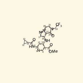 COC(=O)c1cnc(NC(=O)C2CC2)cc1Nc1cnn2ccn(CC(F)(F)F)c(=O)c12